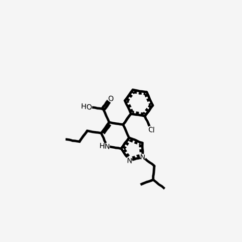 CCCC1=C(C(=O)O)C(c2ccccc2Cl)c2cn(CC(C)C)nc2N1